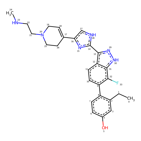 CCc1cc(O)ccc1-c1ccc2c(-c3nc(C4=CCN(CCNC)CC4)c[nH]3)n[nH]c2c1F